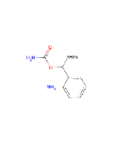 CCCCCCC(OC(N)=O)c1ccccc1.N